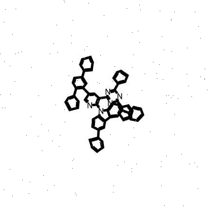 c1ccc(-c2ccc(-c3ccccc3)c(-c3cnc(-n4c5ccc(-c6ccccc6)cc5c5cc(-c6ccccc6)ccc54)c(-c4nc(-c5ccccc5)nc(-c5ccccc5)n4)c3)c2)cc1